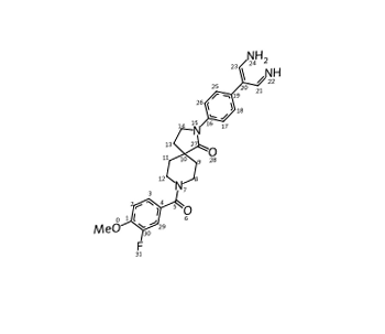 COc1ccc(C(=O)N2CCC3(CC2)CCN(c2ccc(/C(C=N)=C/N)cc2)C3=O)cc1F